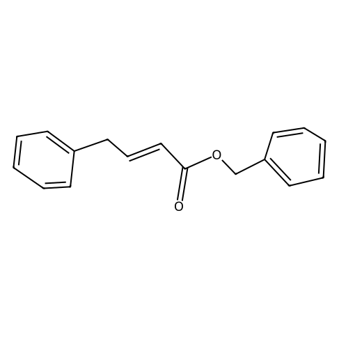 O=C(C=CCc1ccccc1)OCc1ccccc1